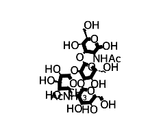 CC(=O)N[C@H]1[C@@H](O[C@H]2[C@@H](O)[C@@H](CO)O[C@@H](O[C@H]3[C@H](O)[C@@H](CO)OC(O)[C@@H]3NC(C)=O)[C@@H]2O[C@@H]2O[C@@H](C)[C@@H](O)[C@@H](O)[C@@H]2O)O[C@H](CO)[C@H](O)[C@@H]1O